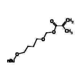 C=C(C)C(=O)OCOCCCCOCCCC